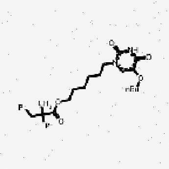 CCCCOc1cn(CCCCCCOC(=O)C(C)(CC(C)C)C(C)C)c(=O)[nH]c1=O